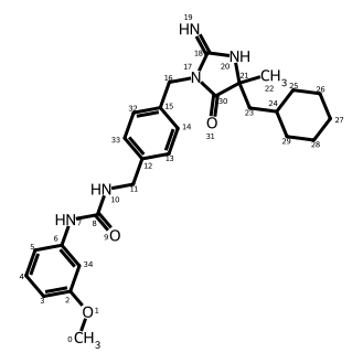 COc1cccc(NC(=O)NCc2ccc(CN3C(=N)NC(C)(CC4CCCCC4)C3=O)cc2)c1